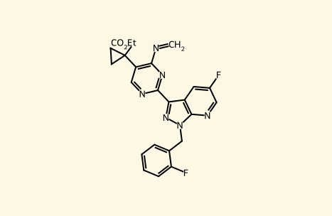 C=Nc1nc(-c2nn(Cc3ccccc3F)c3ncc(F)cc23)ncc1C1(C(=O)OCC)CC1